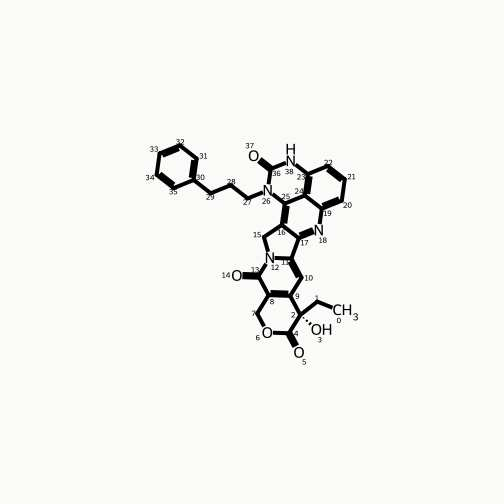 CC[C@@]1(O)C(=O)OCc2c1cc1n(c2=O)Cc2c-1nc1cccc3c1c2N(CCCc1ccccc1)C(=O)N3